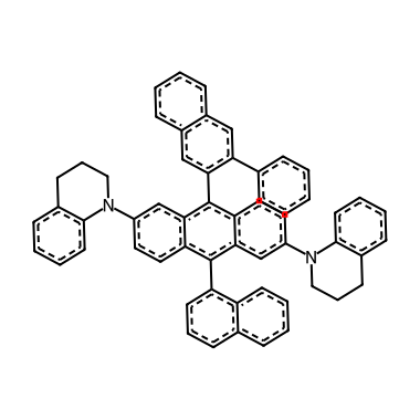 c1ccc(-c2cc3ccccc3cc2-c2c3cc(N4CCCc5ccccc54)ccc3c(-c3cccc4ccccc34)c3cc(N4CCCc5ccccc54)ccc23)cc1